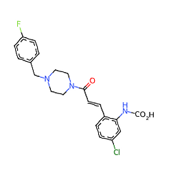 O=C(O)Nc1cc(Cl)ccc1C=CC(=O)N1CCN(Cc2ccc(F)cc2)CC1